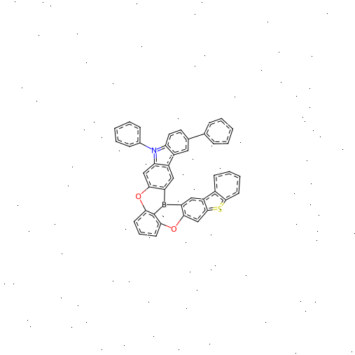 c1ccc(-c2ccc3c(c2)c2cc4c(cc2n3-c2ccccc2)Oc2cccc3c2B4c2cc4c(cc2O3)sc2ccccc24)cc1